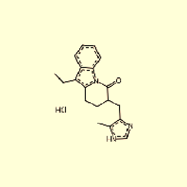 CCc1c2n(c3ccccc13)C(=O)C(Cc1nc[nH]c1C)CC2.Cl